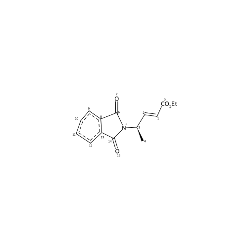 CCOC(=O)/C=C/[C@@H](C)N1C(=O)c2ccccc2C1=O